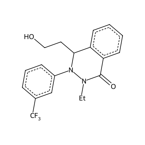 CCN1C(=O)c2ccccc2C(CCO)N1c1cccc(C(F)(F)F)c1